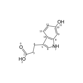 O=C(O)CCc1c[nH]c2cc(O)ccc12